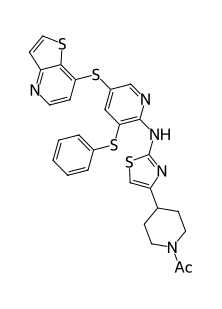 CC(=O)N1CCC(c2csc(Nc3ncc(Sc4ccnc5ccsc45)cc3Sc3ccccc3)n2)CC1